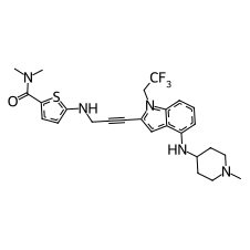 CN1CCC(Nc2cccc3c2cc(C#CCNc2ccc(C(=O)N(C)C)s2)n3CC(F)(F)F)CC1